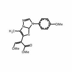 COC=C(C(=O)OC)C1=C(C)N2N=CN(c3ccc(OC)cc3)C2S1